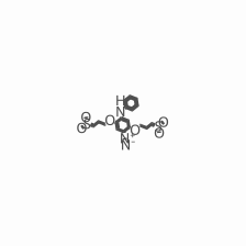 [N-]=[N+]=C1C=C(OCCC=S(=O)=O)C(Nc2ccccc2)=CC1OCCC=S(=O)=O